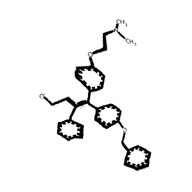 CN(C)CCOc1ccc(/C(=C(\CCCl)c2ccccc2)c2ccc(OCc3ccccc3)cc2)cc1